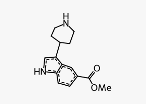 COC(=O)c1ccc2[nH]cc(C3CCNCC3)c2c1